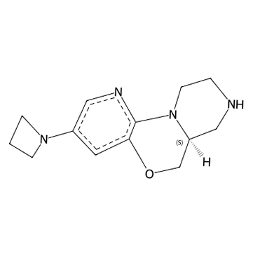 c1nc2c(cc1N1CCC1)OC[C@@H]1CNCCN21